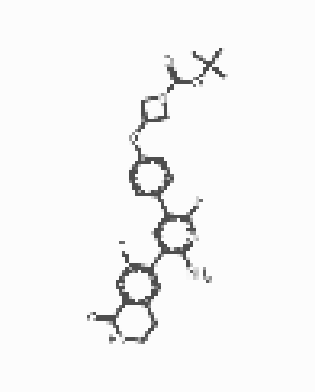 CC(C)(C)OC(=O)N1CC(Oc2ccc(-c3cc(-c4cc5c(cc4F)C(=O)NCC5)c(N)nc3F)cc2)C1